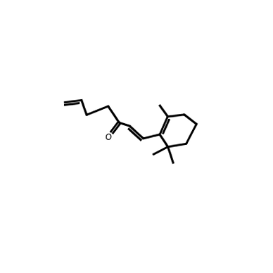 C=CCCC(=O)/C=C/C1=C(C)CCCC1(C)C